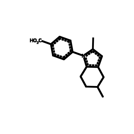 Cc1cc2c(n1-c1ccc(C(=O)O)cc1)CCC(C)C2